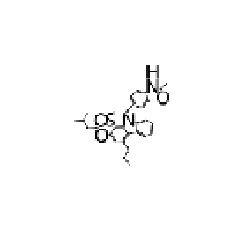 CCCc1cc(OC(=O)CC(C)C)c(SC)c2c1c1ccccc1n2Cc1ccc(NC(C)=O)cc1